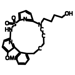 COc1ccc2nc1-c1ccccc1CCCCCN(CCCCO)c1cccc(n1)S(=O)(=O)N2